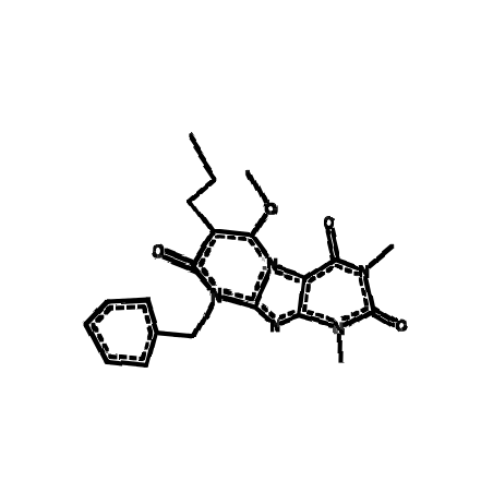 CCCc1c(OC)n2c3c(=O)n(C)c(=O)n(C)c3nc2n(Cc2ccccc2)c1=O